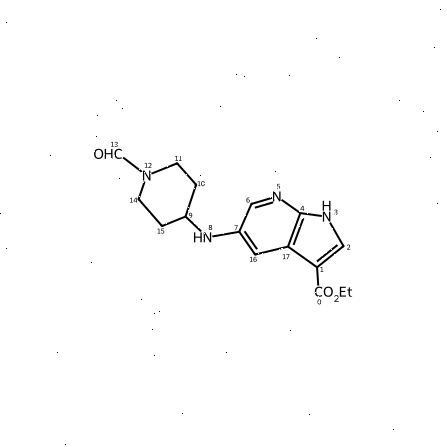 CCOC(=O)c1c[nH]c2ncc(NC3CCN(C=O)CC3)cc12